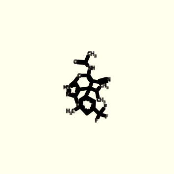 CC(=O)NC1=C(C#N)C(c2cc(C)cc(C(F)(F)F)c2)(C(C)C)c2c(C)n[nH]c2O1